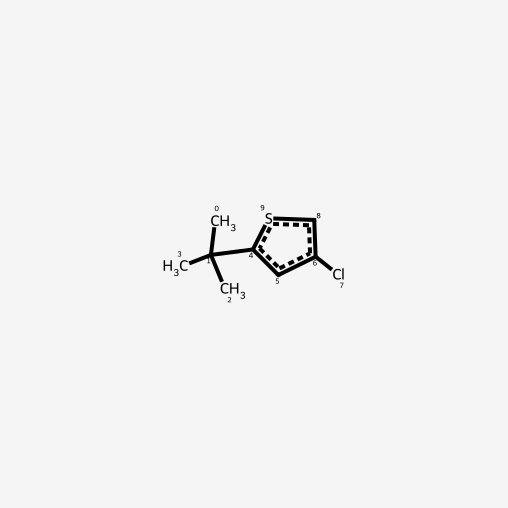 CC(C)(C)c1cc(Cl)cs1